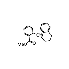 COC(=O)c1ccccc1O.c1ccc2c(c1)CCCC2